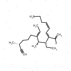 C#C[C@H](C)CCC/C(=C\C)[C@H](C)N(CC)/C(=C/C=C\CCN)C(=C)F